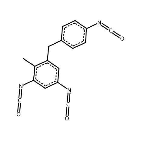 Cc1c(Cc2ccc(N=C=O)cc2)cc(N=C=O)cc1N=C=O